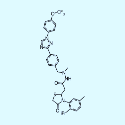 Cc1ccc(C(C)C)c(N2C(=O)CSC2CC(=O)NN(C)Cc2ccc(-c3ncn(-c4ccc(OC(F)(F)F)cc4)n3)cc2)c1